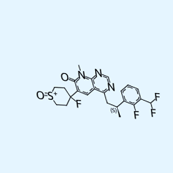 C[C@@H](Cc1ncnc2c1cc(C1(F)CC[S+]([O-])CC1)c(=O)n2C)c1cccc(C(F)F)c1F